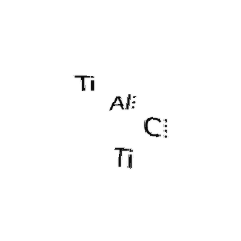 [Al].[C].[Ti].[Ti]